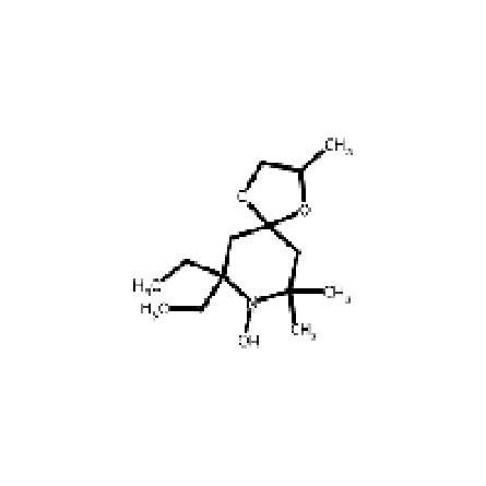 CCC1(CC)CC2(CC(C)(C)N1O)OCC(C)O2